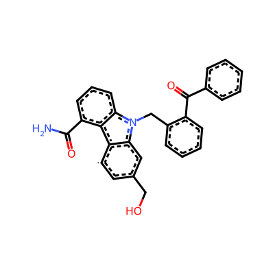 NC(=O)c1cccc2c1c1[c]cc(CO)cc1n2Cc1ccccc1C(=O)c1ccccc1